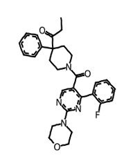 CCC(=O)C1(c2ccccc2)CCN(C(=O)c2cnc(N3CCOCC3)nc2-c2ccccc2F)CC1